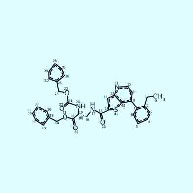 CCc1ccccc1-c1ccnc2cc(C(=O)NC[C@@H](NC(=O)OCc3ccccc3)C(=O)OCc3ccccc3)sc12